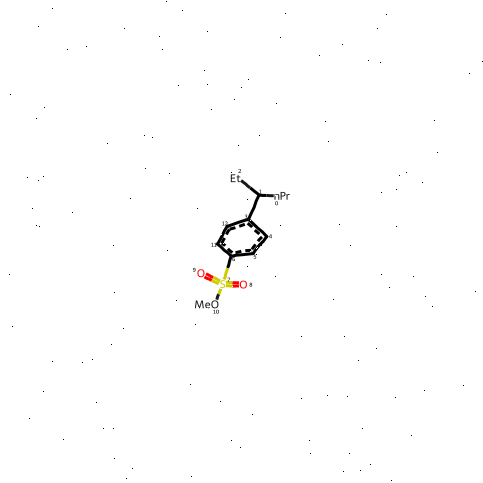 CCCC(CC)c1ccc(S(=O)(=O)OC)cc1